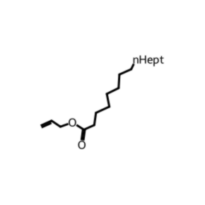 C=CCOC(=O)CCCCCCCCCCCCCC